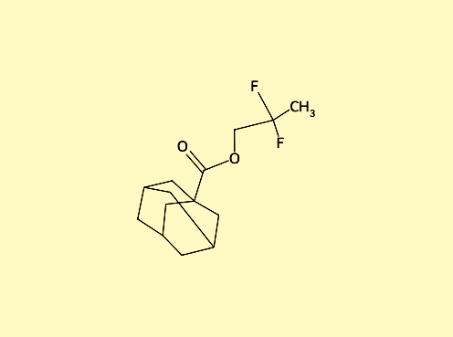 CC(F)(F)COC(=O)C12CC3CC(CC(C3)C1)C2